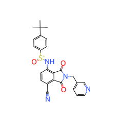 CC(C)(C)c1ccc([S+]([O-])Nc2ccc(C#N)c3c2C(=O)N(Cc2cccnc2)C3=O)cc1